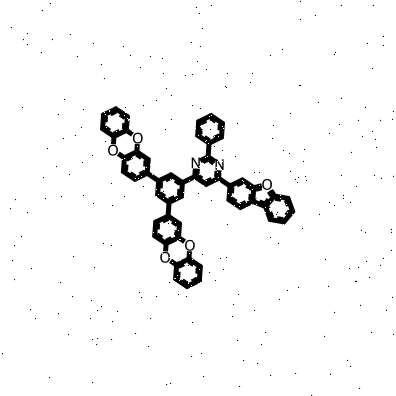 c1ccc(-c2nc(-c3cc(-c4ccc5c(c4)Oc4ccccc4O5)cc(-c4ccc5c(c4)Oc4ccccc4O5)c3)cc(-c3ccc4c(c3)oc3ccccc34)n2)cc1